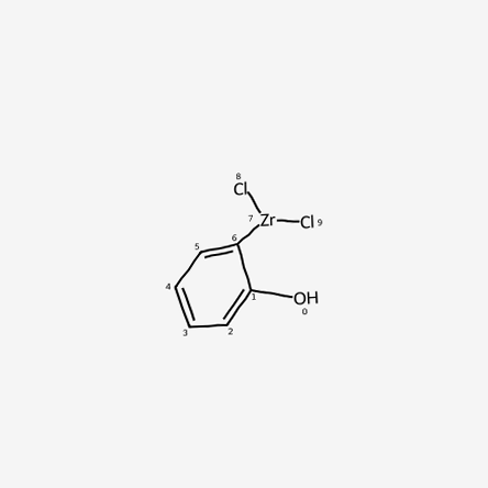 Oc1cccc[c]1[Zr]([Cl])[Cl]